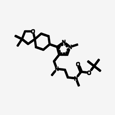 CN(CCN(C)C(=O)OC(C)(C)C)Cc1cn(C)nc1C1CCC2(CC1)CC(C)(C)CO2